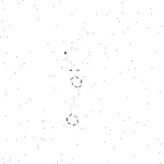 C#CCNS(=O)(=O)c1ccc(CCNCc2cc(Cl)ccc2OCCCC)cc1